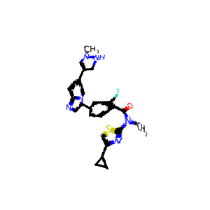 CN1C=C(c2ccc3ncc(-c4ccc(C(=O)N(C)c5nc(C6CC6)cs5)c(F)c4)n3c2)CN1